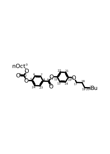 CCCCCCCCOC(=O)Oc1ccc(C(=O)Oc2ccc(OCCCC(C)CC)cc2)cc1